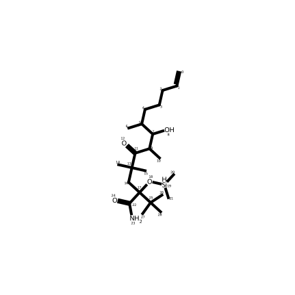 C=CCCCC(C)C(O)C(C)C(=O)C(C)(C)CC(O[SiH](C)C)(C(N)=O)C(C)(C)C